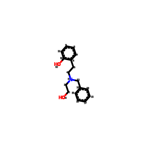 OCCN(CCc1ccccc1O)Cc1ccccc1